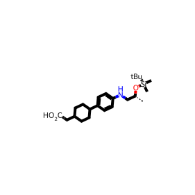 C[C@H](CNc1ccc(C2CCC(CC(=O)O)CC2)cc1)O[Si](C)(C)C(C)(C)C